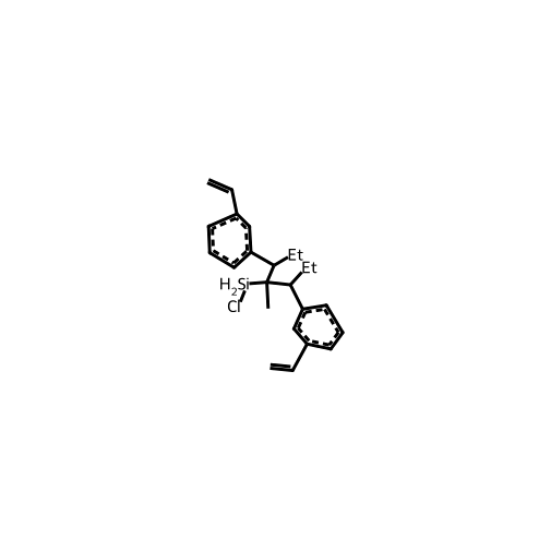 C=Cc1cccc(C(CC)C(C)([SiH2]Cl)C(CC)c2cccc(C=C)c2)c1